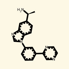 C[C@H](N)c1ccc2c(c1)ncn2-c1cccc(-c2cnccn2)c1